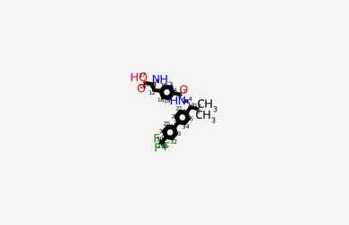 CC(C)[C@@H](CNC(=O)c1ccc(C[C@H](N)C(=O)O)cc1)c1ccc(-c2ccc(C(F)(F)F)cc2)cc1